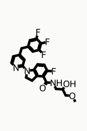 COCC(O)CNC(=O)c1c(F)ccc2c1CCN2c1cc(Cc2cc(F)c(F)c(F)c2)ccn1